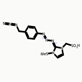 CSn1ccn(CS(=O)(=O)O)/c1=N/N=N/c1ccc(CN=[N+]=[N-])cc1